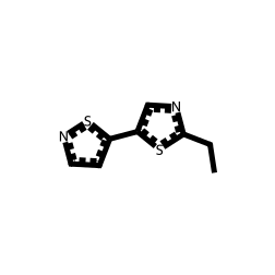 CCc1ncc(-c2ccns2)s1